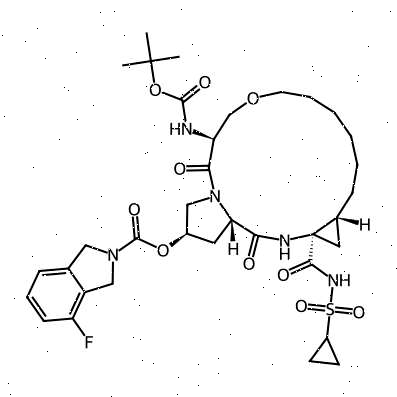 CC(C)(C)OC(=O)N[C@H]1COCCCCCC[C@@H]2C[C@@]2(C(=O)NS(=O)(=O)C2CC2)NC(=O)[C@@H]2C[C@@H](OC(=O)N3Cc4cccc(F)c4C3)CN2C1=O